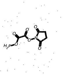 O=C(OP)C(=O)ON1C(=O)CCC1=O